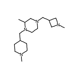 CC1CN(CC2CN(C)C2)CCN1CC1CCN(C)CC1